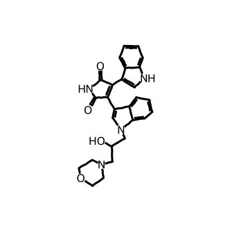 O=C1NC(=O)C(c2cn(CC(O)CN3CCOCC3)c3ccccc23)=C1c1c[nH]c2ccccc12